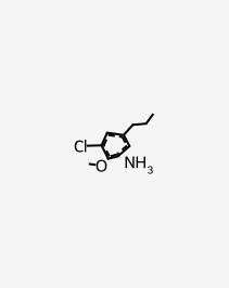 CCCc1ccc(OC)c(Cl)c1.N